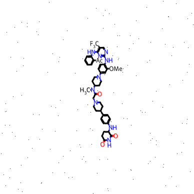 COc1cc(N2CCC(N(C)C(=O)CN3CCC(c4ccc(NC5CCC(=O)NC5=O)cc4)CC3)CC2)ccc1Nc1ncc(C(F)(F)F)c(Nc2ccccc2C(C)=O)n1